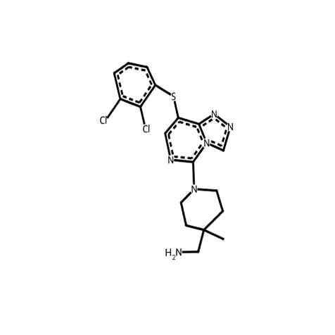 CC1(CN)CCN(c2ncc(Sc3cccc(Cl)c3Cl)c3nncn23)CC1